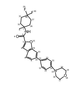 CC1(NC(=O)c2cc3ccc(-c4ccc(N5CCOCC5)cc4)cc3o2)CCC(F)(F)CC1